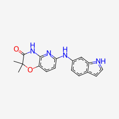 CC1(C)Oc2ccc(Nc3ccc4cc[nH]c4c3)nc2NC1=O